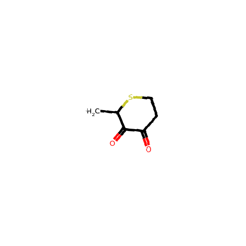 [CH2]C1SCCC(=O)C1=O